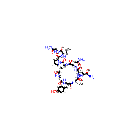 CC[C@H](C)[C@@H]1NC(=O)[C@H](Cc2ccc(O)cc2)NC(=O)CNC(=O)CC[C@H](C(=O)N2CCC[C@H]2C(=O)N[C@@H](CC(C)C)C(=O)NCC(N)=O)NC(=O)[C@H](CC(N)=O)NC(=O)[C@H](CCC(N)=O)NC1=O